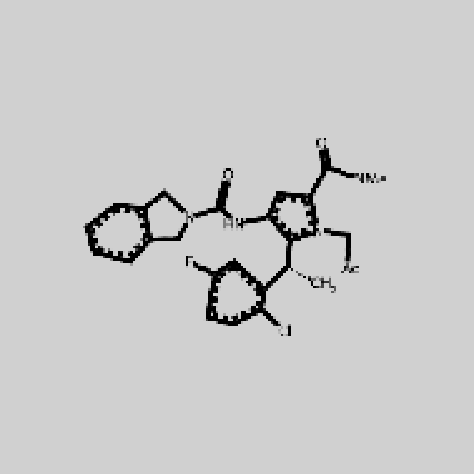 CNC(=O)c1cc(NC(=O)N2Cc3ccccc3C2)c([C@H](C)c2cc(F)ccc2Cl)n1CC(C)=O